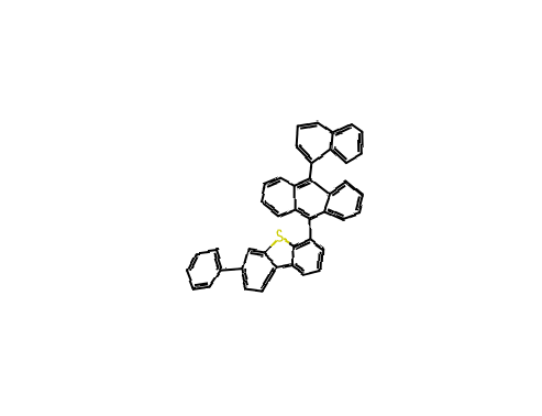 c1ccc(-c2ccc3c(c2)sc2c(-c4c5ccccc5c(-c5cccc6ccccc56)c5ccccc45)cccc23)cc1